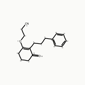 N#CCCOC1=C(CCCc2ccccc2)C(=O)CCC1